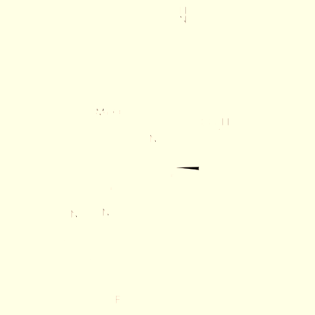 COc1cc(C)c2[nH]ccc2c1CN1CC[C@@H](n2cc(C(F)F)cn2)C[C@@H]1c1ccccc1C(=O)O